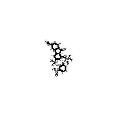 CN(C)P(=S)(Oc1cccc([N+](=O)[O-])c1)Oc1cc(S(C)(=O)=O)cc2c1C(=O)c1ccc(C#N)cc1-2